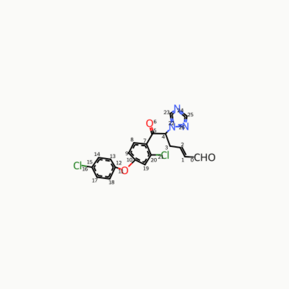 O=CC=CCC(C(=O)c1ccc(Oc2ccc(Cl)cc2)cc1Cl)n1cncn1